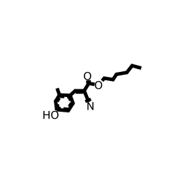 CCCCCCOC(=O)/C(C#N)=C/c1ccc(O)cc1C